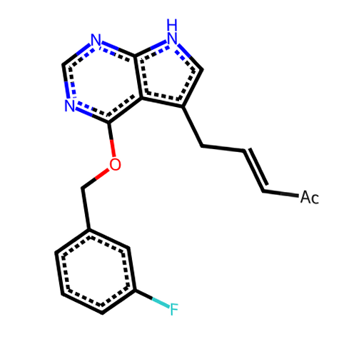 CC(=O)/C=C/Cc1c[nH]c2ncnc(OCc3cccc(F)c3)c12